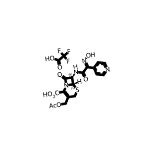 CC(=O)OCC1=C(C(=O)O)N2C(=O)[C@@H](NC(=O)C(=NO)c3ccncc3)[C@@H]2SC1.O=C(O)C(F)(F)F